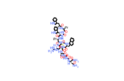 CC(C)[C@H](NC(=O)[C@H](Cc1c[nH]c2ccccc12)NC(=O)NC(=O)[C@@H](NC(=O)[C@@H](C)Cc1c[nH]c2ccccc12)C(C)C)C(=O)N[C@@H](SC(=O)N[C@@H](Cc1ccc2ccccc2c1)C(=O)N[C@@H](CCCNC(=N)N)C(=O)N[C@@H](CO)C(=O)NC(=O)NC(=O)N[C@@H](CC(N)=O)C(N)=O)C(N)=O